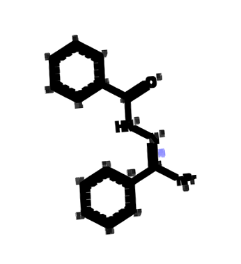 CCC/C(=N/NC(=O)c1ccccc1)c1ccccc1